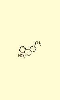 Cc1ccc(CC(=O)O)c(-c2ccccc2)c1